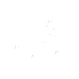 CCc1ccc(OCc2c(Br)cccc2OC(=O)OC)cc1Cl